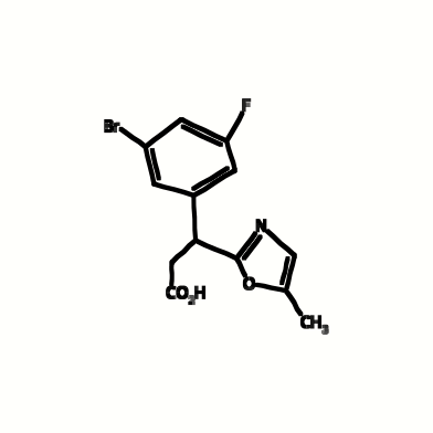 Cc1cnc(C(CC(=O)O)c2cc(F)cc(Br)c2)o1